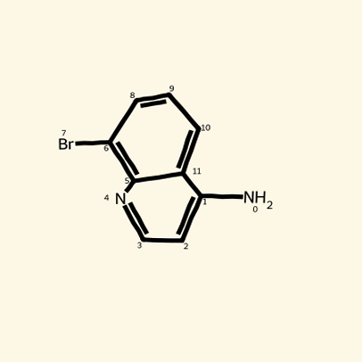 Nc1ccnc2c(Br)cccc12